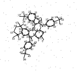 Cc1cc2c3c(c1)N(c1ccc(C(C)(C)C)cc1)c1oc4ccc(C(C)(C)C)cc4c1B3c1cc3c(cc1N2c1ccc(C(C)(C)C)cc1C)C(C)(C)CCC3(C)C